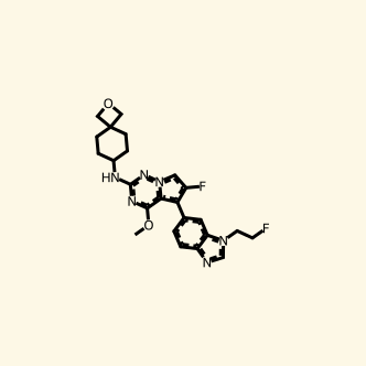 COc1nc(NC2CCC3(CC2)COC3)nn2cc(F)c(-c3ccc4ncn(CCF)c4c3)c12